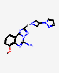 COc1cccc2c1nc(N)n1nc(CN3CC(n4cccn4)C3)nc21